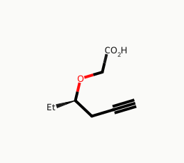 C#CC[C@@H](CC)OCC(=O)O